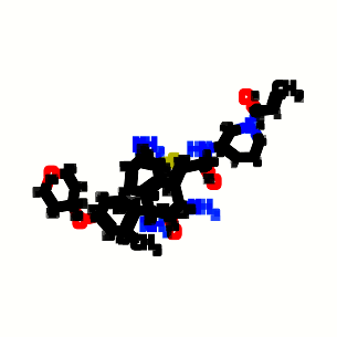 C=CC(=O)N1CCCC(NC(=O)c2sc3c(N)ccc4c3c2C(N)C(=O)C4(N)c2ccc(OC3CCOCC3)cc2C)C1